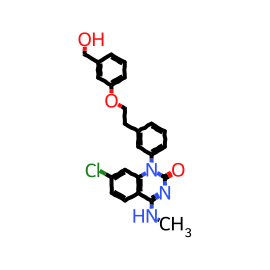 CNc1nc(=O)n(-c2cccc(CCOc3cccc(CO)c3)c2)c2cc(Cl)ccc12